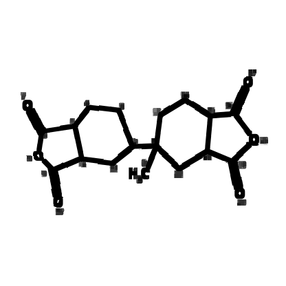 CC1(C2CCC3C(=O)OC(=O)C3C2)CCC2C(=O)OC(=O)C2C1